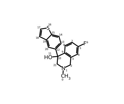 CN1Cc2cc(F)ccc2C(O)(c2ccc3sccc3c2)C1